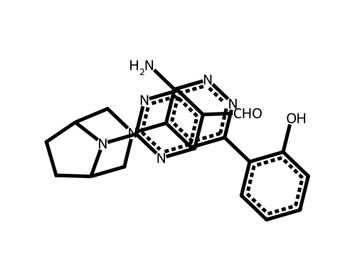 Nc1nnc(-c2ccccc2O)cc1N1CC2CCC(C1)N2c1ncc(C=O)cn1